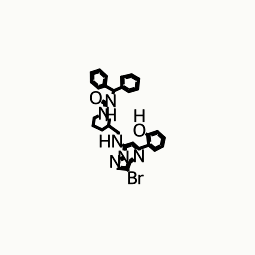 O=C(NC(c1ccccc1)c1ccccc1)N1CCCC(CNc2cc(-c3ccccc3O)nc3c(Br)cnn23)C1